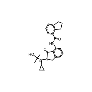 CC(C)(O)[C@H](C1CC1)N1Cc2cccc(NC(=O)c3cccc4c3CCC4)c2C1=O